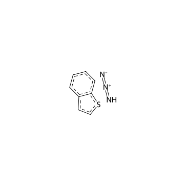 [N-]=[N+]=N.c1ccc2sccc2c1